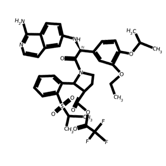 CCOc1cc([C@H](Nc2ccc3c(N)nccc3c2)C(=O)N2CCC(C(=O)OC(=O)C(F)(F)F)C2c2ccccc2S(=O)(=O)C(C)C)ccc1OC(C)C